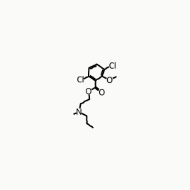 CCCN(C)CCOC(=O)c1c(Cl)ccc(Cl)c1OC